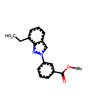 CC(C)(C)OC(=O)c1cccc(-n2cc3cccc(CC(=O)O)c3n2)c1